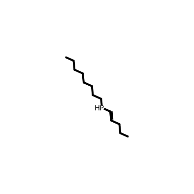 CCCC=CPCCCCCCCC